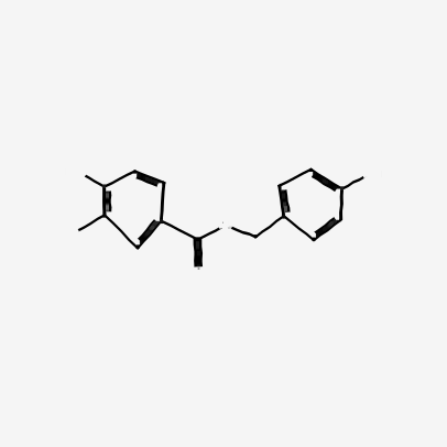 Cc1ccc(CNC(=O)c2ccc(O)c(O)c2)cc1